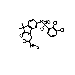 CC1(C)C(=O)N(CC(N)=O)c2cc(NS(=O)(=O)c3cccc(Cl)c3Cl)ccc21